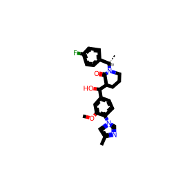 COc1cc(C(O)C2CCCN([C@@H](C)c3ccc(F)cc3)C2=O)ccc1-n1cnc(C)c1